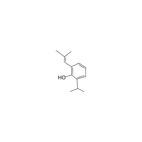 CC(C)=Cc1cccc(C(C)C)c1O